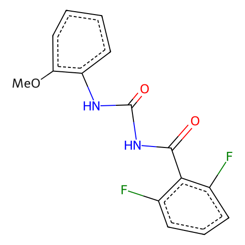 COc1ccccc1NC(=O)NC(=O)c1c(F)cccc1F